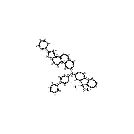 CC1(C)c2ccccc2-c2ccc(N(c3ccc(-c4ccccc4)cc3)c3ccc4ccc5c(ccc6nc(-c7ccccc7)sc65)c4c3)cc21